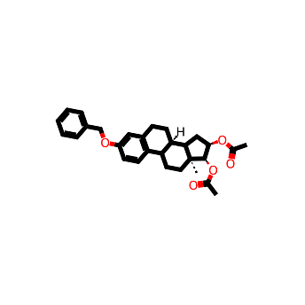 CC(=O)O[C@@H]1CC2[C@@H]3CCc4cc(OCc5ccccc5)ccc4C3CC[C@]2(C)[C@H]1OC(C)=O